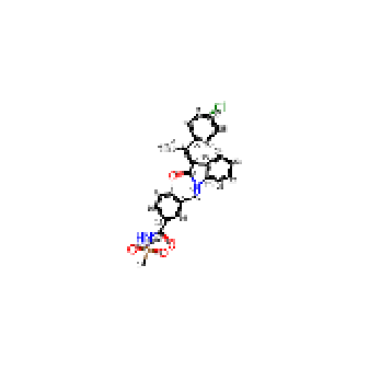 CC(C)(C)/C(=C1\C(=O)N(Cc2cccc(C(=O)NS(C)(=O)=O)c2)c2ccccc21)c1ccc(Cl)cc1